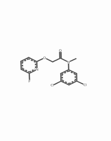 CN(C(=O)COc1cccc(F)n1)c1cc(Cl)cc(Cl)c1